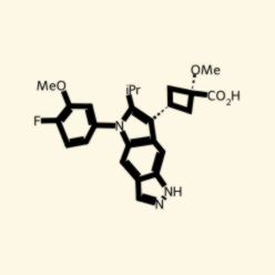 COc1cc(-n2c(C(C)C)c([C@H]3C[C@](OC)(C(=O)O)C3)c3cc4[nH]ncc4cc32)ccc1F